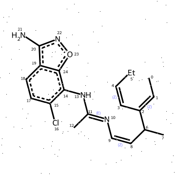 C/C=C(\C=C/CC)C(C)/C=C\N=C(/C)Nc1c(Cl)ccc2c(N)noc12